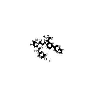 CC(=O)c1nn(CC(=O)N2[C@@H]3C[C@@H]3C[C@H]2C(=O)Nc2cnc(C)c(Br)n2)c2ccc(-c3cnc4ccnn4c3)cc12